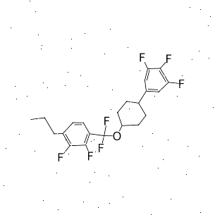 CCCc1ccc(C(F)(F)OC2CCC(c3cc(F)c(F)c(F)c3)CC2)c(F)c1F